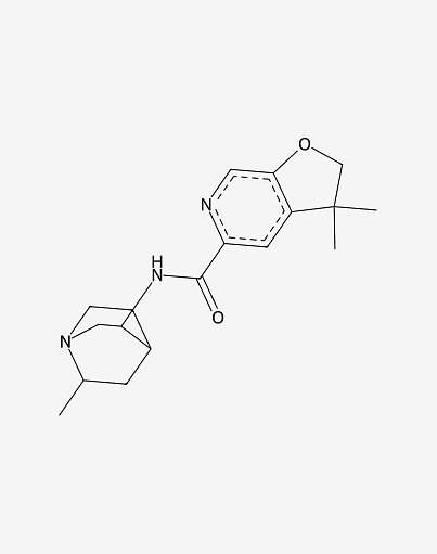 CC1CC2CCN1CC2NC(=O)c1cc2c(cn1)OCC2(C)C